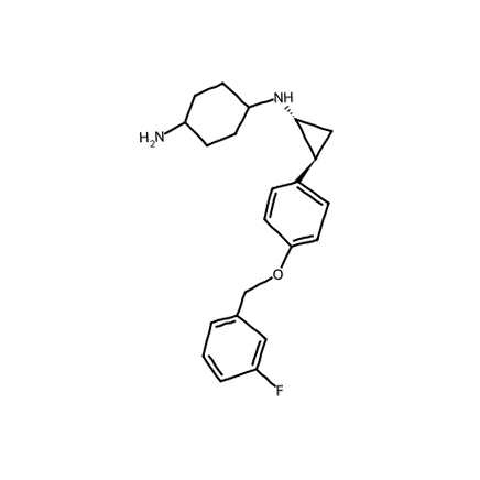 NC1CCC(N[C@@H]2C[C@H]2c2ccc(OCc3cccc(F)c3)cc2)CC1